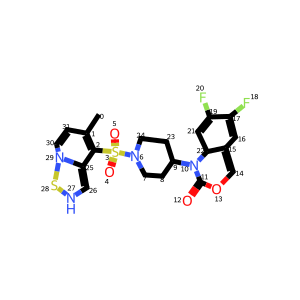 CC1=C(S(=O)(=O)N2CCC(N3C(=O)OC=C4C=C(F)C(F)=CC43)CC2)C2=CNSN2C=C1